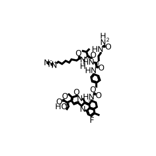 CC[C@@]1(O)C(=O)OCc2c1cc1n(c2=O)Cc2c-1nc1cc(F)c(C)c3c1c2[C@@H](NC(=O)OCc1ccc(NC(=O)[C@H](CCCNC(N)=O)NC(=O)[C@@H](NC(=O)CCCCCCN=[N+]=[N-])C(C)C)cc1)CC3